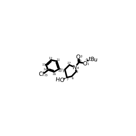 CC(C)(C)OC(=O)N1CC[C@H](O)[C@H](c2cccc(Cl)c2)C1